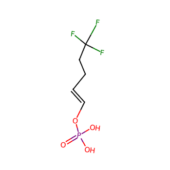 O=P(O)(O)OC=CCCC(F)(F)F